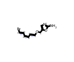 Nc1ncc(CO/C=C/C=C\C=C\Br)o1